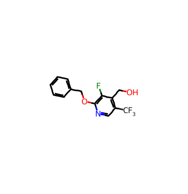 OCc1c(C(F)(F)F)cnc(OCc2ccccc2)c1F